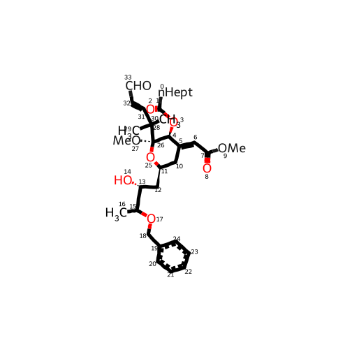 CCCCCCCC(=O)O[C@H]1/C(=C/C(=O)OC)C[C@@H](C[C@@H](O)C(C)OCc2ccccc2)O[C@@]1(OC)C(C)(C)/C=C/C=O